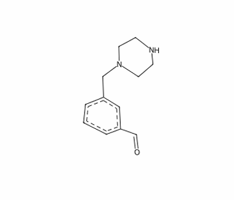 O=Cc1cccc(CN2CCNCC2)c1